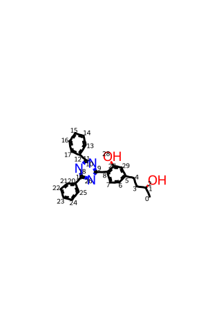 CC(O)CCc1ccc(-c2nc(-c3ccccc3)nc(-c3ccccc3)n2)c(O)c1